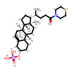 CC(CCC(=O)N1CCSCC1)[C@H]1CC[C@H]2[C@@H]3CC=C4C[C@@H](OP(=O)(O)O)CC[C@]4(C)[C@H]3CC[C@]12C